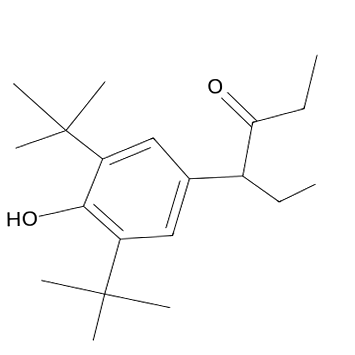 CCC(=O)C(CC)c1cc(C(C)(C)C)c(O)c(C(C)(C)C)c1